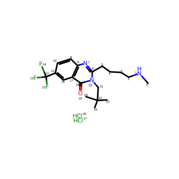 CNCCCCc1nc2ccc(C(F)(F)F)cc2c(=O)n1CC(C)(C)C.Cl.Cl